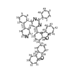 c1ccc(-c2nc(-c3ccccc3-c3ccncc3)cc(-c3ccc(-c4ccc5oc6ccccc6c5c4)c4oc5ccccc5c34)n2)cc1